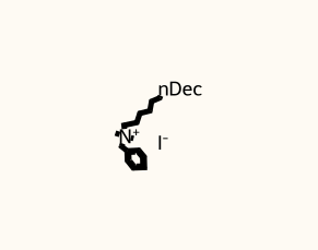 CCCCCCCCCCCCCCCC[N+](C)(C)Cc1ccccc1.[I-]